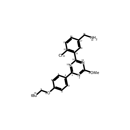 COc1nc(-c2ccc(OCC(C)(C)C)cc2)nc(-c2cc(CN)ccc2Cl)n1